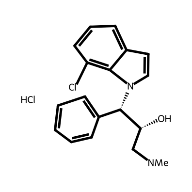 CNC[C@@H](O)[C@H](c1ccccc1)n1ccc2cccc(Cl)c21.Cl